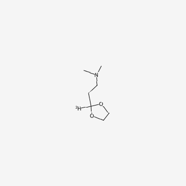 [2H]C1(CCN(C)C)OCCO1